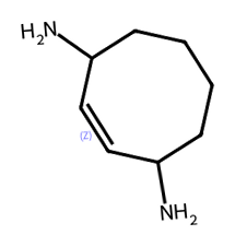 NC1/C=C\C(N)CCCC1